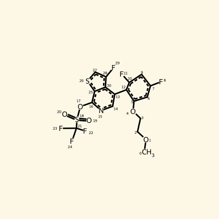 COCCOc1cc(F)cc(F)c1-c1cnc(OS(=O)(=O)C(F)(F)F)c2scc(F)c12